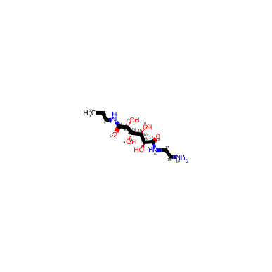 CCCNC(=O)[C@H](O)[C@@H](O)[C@@H](O)[C@H](O)C(=O)NCCN